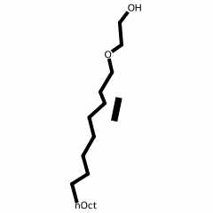 C=C.CCCCCCCCCCCCCCCCOCCO